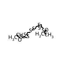 C=C(C)C(=O)SCC1CSC(CCSCSCCC2SCC(CSC(=O)C(=C)C)S2)S1